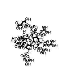 O=C(O)CC(O)C(=O)O.O=S(=O)(OC[C@H]1O[C@@](COS(=O)(=O)[O][Al]([OH])[OH])(O[C@H]2O[C@H](COS(=O)(=O)[O][Al]([OH])[OH])[C@@H](OS(=O)(=O)[O][Al]([OH])[OH])[C@H](OS(=O)(=O)[O][Al]([OH])[OH])[C@H]2OS(=O)(=O)[O][Al]([OH])[OH])[C@@H](OS(=O)(=O)[O][Al]([OH])[OH])[C@@H]1OS(=O)(=O)[O][Al]([OH])[OH])[O][Al]([OH])[OH]